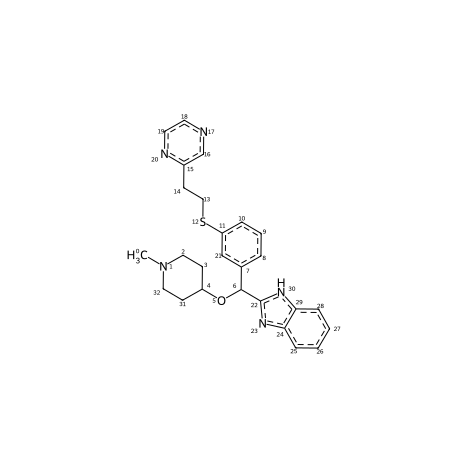 CN1CCC(OC(c2cccc(SCCc3cnccn3)c2)c2nc3ccccc3[nH]2)CC1